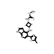 Cc1cnc(-c2cnc3[nH]ccc3c2N[C@H]2C[C@@H](NC(=O)OC(C)(C)C)C2)s1